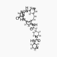 O=C(CC1CCN(C(=O)Nc2cccnc2)CC1)Nc1ccc2cc1CCC1C=NC=C(C1)Nc1ncc(Cl)c(n1)N2